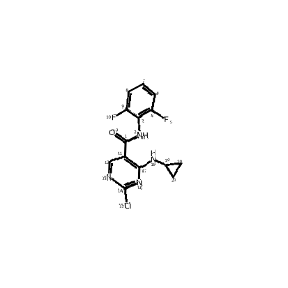 O=C(Nc1c(F)cccc1F)c1cnc(Cl)nc1NC1CC1